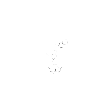 Cl.O=c1ccc2ncc(=O)n3c2n1C[C@H]3CN1CCC(NCc2cc3c(cc2F)OCCO3)CC1